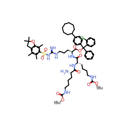 Cc1c(C)c(S(=O)(=O)NC(=N)NCCC[C@H](NC(=O)[C@H](CCCCNC(=O)OC(C)(C)C)NC(=O)[C@@H](N)CCCCNC(=O)OC(C)(C)C)C(=O)OC(c2ccccc2)(c2ccc(C3CCCCCCC3)cc2)c2ccccc2Cl)c(C)c2c1CC(C)(C)O2